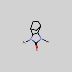 CC(=O)N1C(=O)N(C(C)=O)C2C3CCC(C3)C21